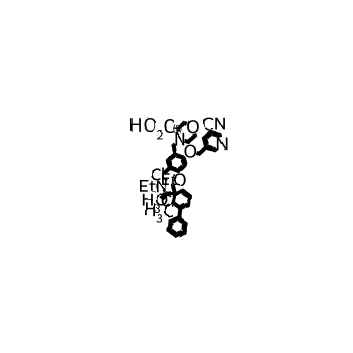 CCN(CC)C(=O)C1(COc2cc(OCc3cncc(C#N)c3)c(CN3CCOC[C@H]3C(=O)O)cc2Cl)C=CC=C(c2ccccc2)C1(C)C